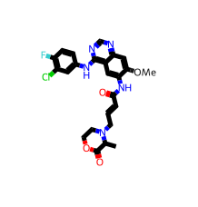 COc1cc2ncnc(Nc3ccc(F)c(Cl)c3)c2cc1NC(=O)C=CCN1CCOC(=O)C1C